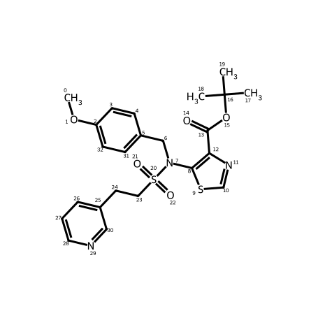 COc1ccc(CN(c2scnc2C(=O)OC(C)(C)C)S(=O)(=O)CCc2cccnc2)cc1